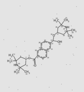 CC1(C)CC(OC(=O)c2ccc3cc(C(O)OC4CC(C)(C)NC(C)(C)C4)ccc3c2)CC(C)(C)N1